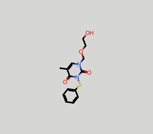 Cc1cn(COCCO)c(=O)n(Sc2ccccc2)c1=O